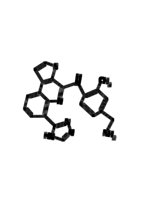 Cc1cc(CN)ccc1Nc1nc2c(-c3nnc[nH]3)cccc2c2ccsc12